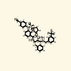 CS(=O)(=O)N(c1ccc(C#N)cc1)c1cccc(C(=O)N[C@@H](Cc2ccccc2)[C@H](O)CNCc2cccc(C(F)(F)F)c2)c1N1CCCC1=O